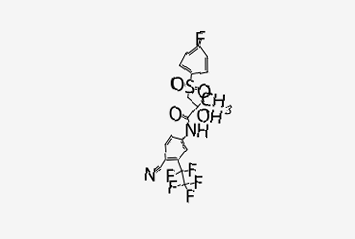 CC(O)(CS(=O)(=O)c1ccc(F)cc1)C(=O)Nc1ccc(C#N)c(C(F)(F)C(F)(F)F)c1